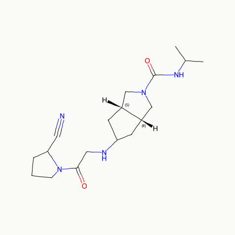 CC(C)NC(=O)N1C[C@H]2CC(NCC(=O)N3CCCC3C#N)C[C@H]2C1